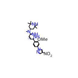 COc1cc(-n2cc([N+](=O)[O-])cn2)ccc1C(=N)/C=C\C(=N)N(C)C1CC(C)(C)NC(C)(C)C1